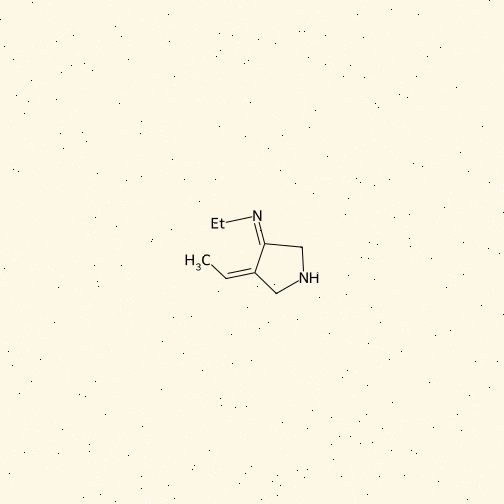 C/C=C1/CNC/C1=N/CC